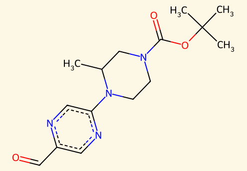 CC1CN(C(=O)OC(C)(C)C)CCN1c1cnc(C=O)cn1